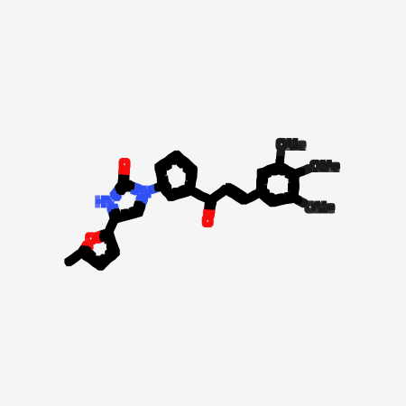 COc1cc(C=CC(=O)c2cccc(-n3cc(-c4ccc(C)o4)[nH]c3=O)c2)cc(OC)c1OC